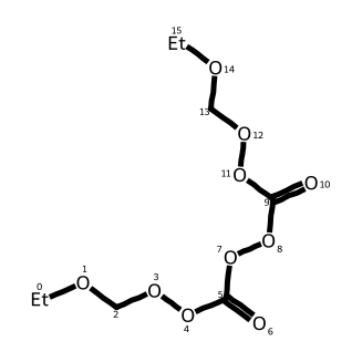 CCOCOOC(=O)OOC(=O)OOCOCC